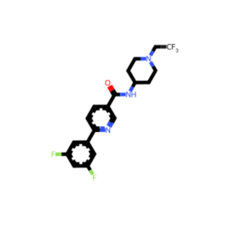 O=C(NC1CCN(CC(F)(F)F)CC1)c1ccc(-c2cc(F)cc(F)c2)nc1